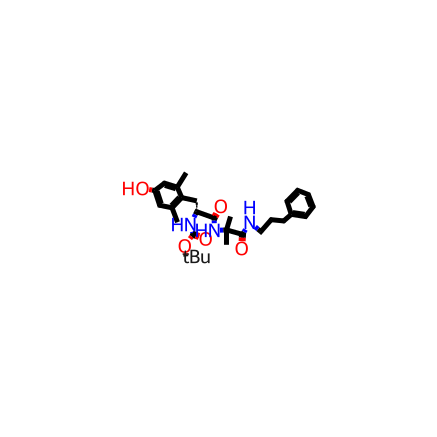 Cc1cc(O)cc(C)c1C[C@@H](NC(=O)OC(C)(C)C)C(=O)NC(C)(C)C(=O)NCCCc1ccccc1